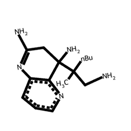 CCCCC(C)(CN)C1(N)CC(N)=Nc2cccnc21